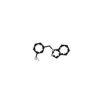 FC(F)(F)c1cccc(Cn2ncc3c[c]ccc32)c1